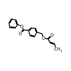 CC=CC(=O)OCc1ccc(C(=O)Oc2ccccc2)cc1